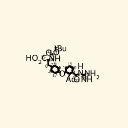 CC(=O)c1c(Oc2ccc(C[C@H](NC(=O)OC(C)(C)C)C(=O)O)cc2)cccc1C(=O)NC(=N)N